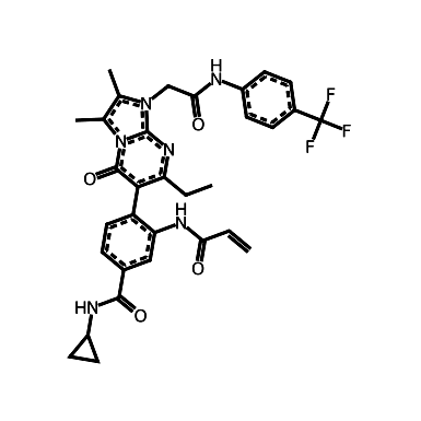 C=CC(=O)Nc1cc(C(=O)NC2CC2)ccc1-c1c(CC)nc2n(CC(=O)Nc3ccc(C(F)(F)F)cc3)c(C)c(C)n2c1=O